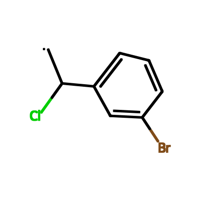 [CH2]C(Cl)c1cccc(Br)c1